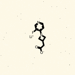 O=C([O-])CC1CN(c2ccncc2F)C1.[Li+]